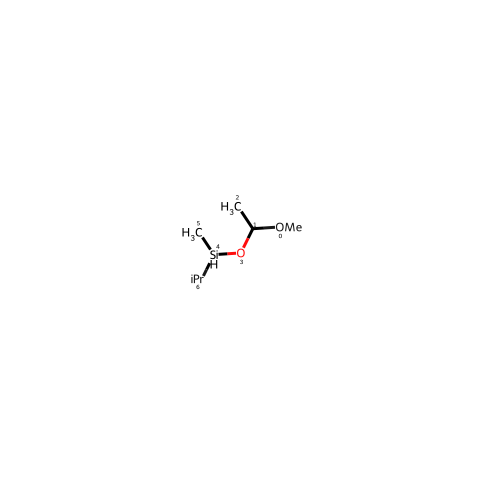 COC(C)O[SiH](C)C(C)C